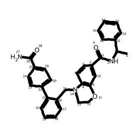 CC(NC(=O)c1ccc2c(c1)OCCN2Cc1ccccc1-c1ccc(C(N)=O)cc1)c1ccccc1